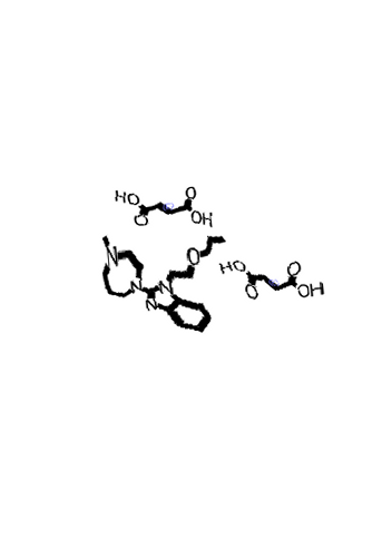 C=CCOCCn1c(N2CCCN(C)CC2)nc2ccccc21.O=C(O)/C=C/C(=O)O.O=C(O)/C=C/C(=O)O